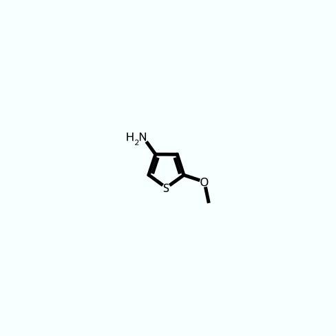 COc1cc(N)cs1